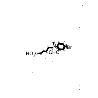 CN(CCCCCC(=O)O)c1ccc(Br)cc1C=O